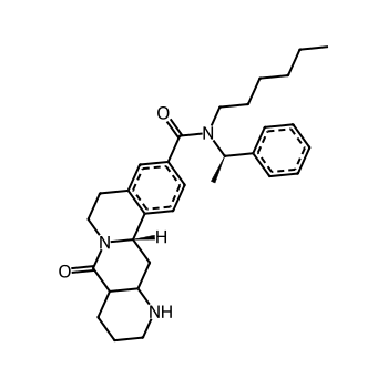 CCCCCCN(C(=O)c1ccc2c(c1)CCN1C(=O)C3CCCNC3C[C@@H]21)[C@H](C)c1ccccc1